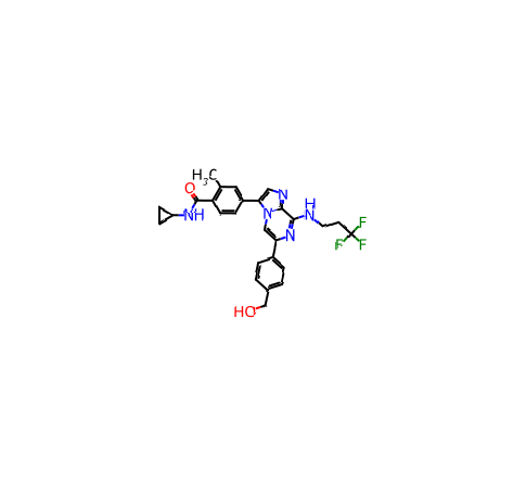 Cc1cc(-c2cnc3c(NCCC(F)(F)F)nc(-c4ccc(CO)cc4)cn23)ccc1C(=O)NC1CC1